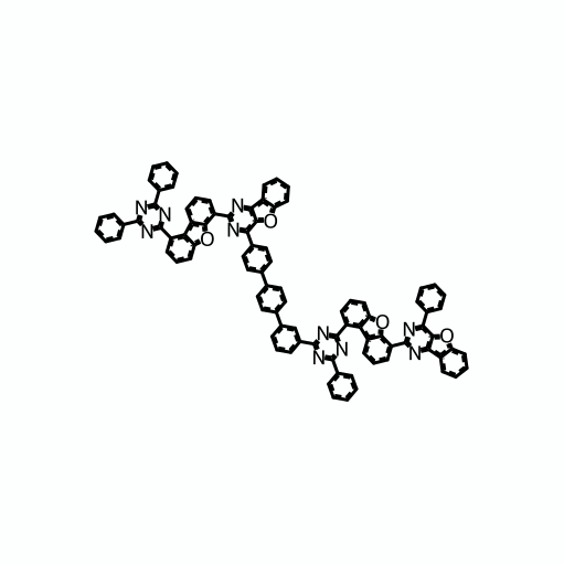 c1ccc(-c2nc(-c3ccccc3)nc(-c3cccc4oc5c(-c6nc(-c7ccc(-c8ccc(-c9cccc(-c%10nc(-c%11ccccc%11)nc(-c%11cccc%12oc%13c(-c%14nc(-c%15ccccc%15)c%15oc%16ccccc%16c%15n%14)cccc%13c%11%12)n%10)c9)cc8)cc7)c7oc8ccccc8c7n6)cccc5c34)n2)cc1